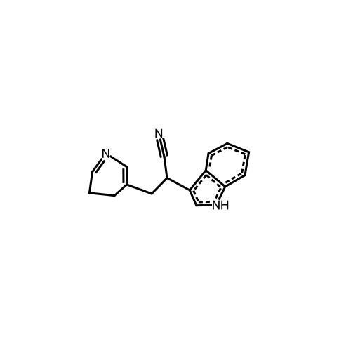 N#CC(CC1=CN=CCC1)c1c[nH]c2ccccc12